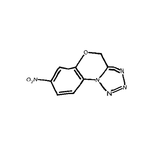 O=[N+]([O-])c1ccc2c(c1)OCc1nnnn1-2